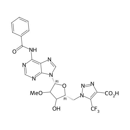 COC1C(O)[C@@H](Cn2nnc(C(=O)O)c2C(F)(F)F)O[C@H]1n1cnc2c(NC(=O)c3ccccc3)ncnc21